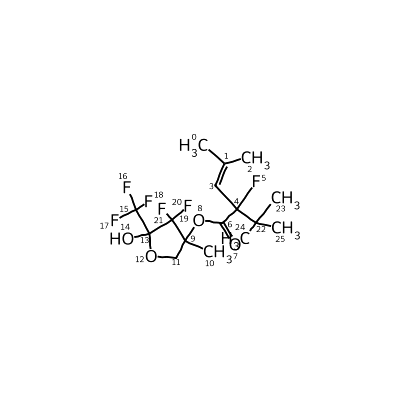 CC(C)=CC(F)(C(=O)OC1(C)COC(O)(C(F)(F)F)C1(F)F)C(C)(C)C